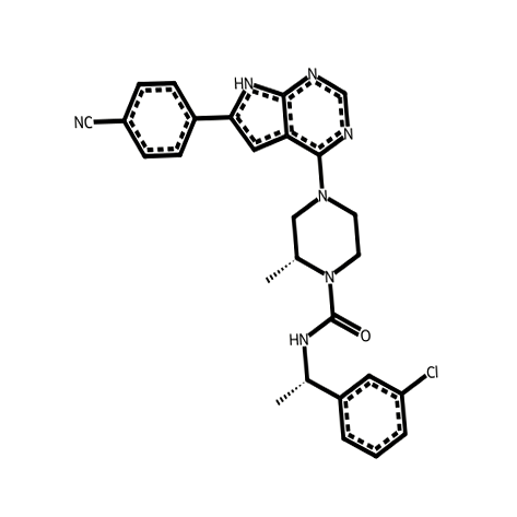 C[C@H](NC(=O)N1CCN(c2ncnc3[nH]c(-c4ccc(C#N)cc4)cc23)C[C@H]1C)c1cccc(Cl)c1